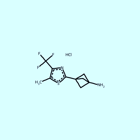 Cc1sc(C23CC(N)(C2)C3)nc1C(F)(F)F.Cl